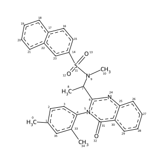 Cc1ccc(-n2c(C(C)N(C)S(=O)(=O)c3ccc4ccccc4c3)nc3ccccc3c2=O)c(C)c1